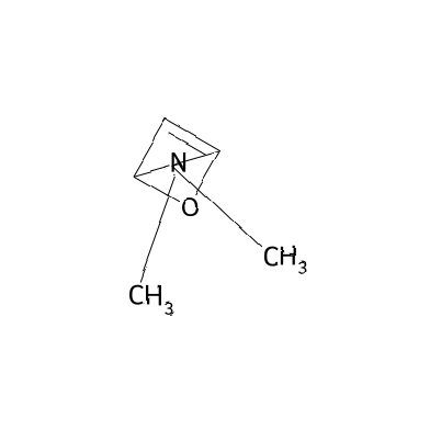 CC1C2=CC(O2)N1C